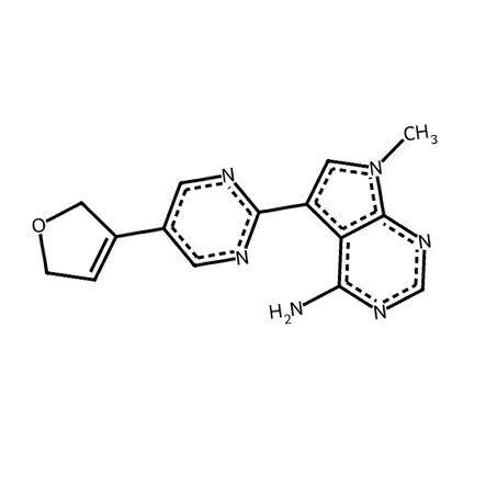 Cn1cc(-c2ncc(C3=CCOC3)cn2)c2c(N)ncnc21